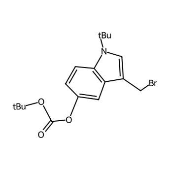 CC(C)(C)OC(=O)Oc1ccc2c(c1)c(CBr)cn2C(C)(C)C